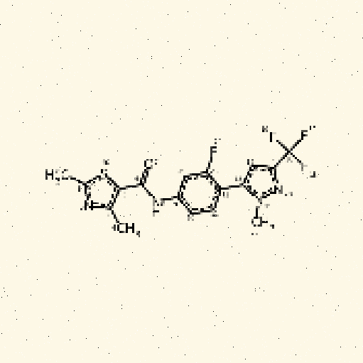 Cc1nc(C)c(C(=O)Nc2ccc(-c3cc(C(F)(F)F)nn3C)c(F)c2)s1